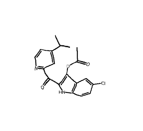 CC(=O)Oc1c(C(=O)c2cc(C(C)C)ccn2)[nH]c2ccc(Cl)cc12